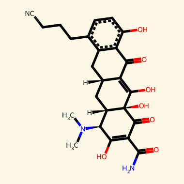 CN(C)[C@@H]1C(O)=C(C(N)=O)C(=O)[C@@]2(O)C(O)=C3C(=O)c4c(O)ccc(CCCC#N)c4C[C@H]3C[C@@H]12